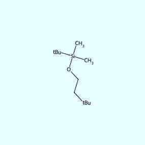 CC(C)(C)CCO[Si](C)(C)C(C)(C)C